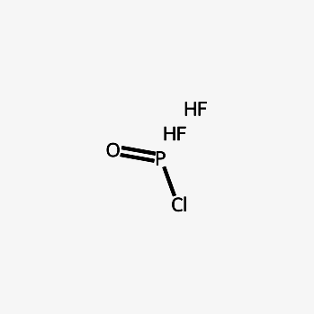 F.F.O=PCl